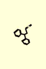 C=C=C[CH]C(c1ccccc1)c1ccccc1